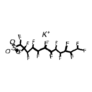 O=S(=O)([O-])C(F)C(F)(F)C(F)C(F)C(F)C(F)C(F)C(F)C(F)C(F)C(F)C(F)F.[K+]